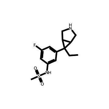 CCC1(c2cc(F)cc(NS(C)(=O)=O)c2)C2CNCC21